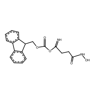 N=C(CCC(=O)NO)OC(=O)OCC1c2ccccc2-c2ccccc21